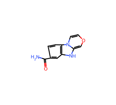 NC(=O)c1ccc2c(c1)NC1=COC=CN12